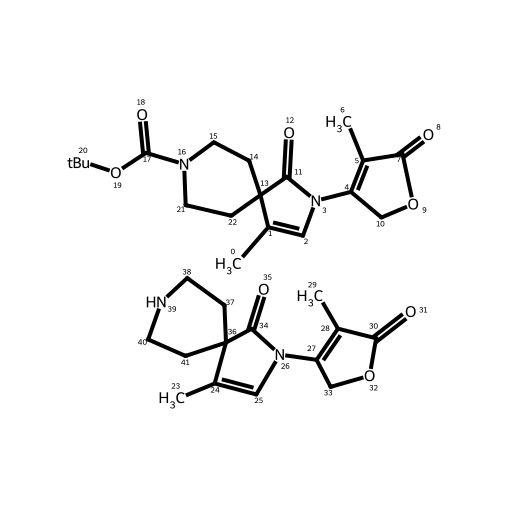 CC1=CN(C2=C(C)C(=O)OC2)C(=O)C12CCN(C(=O)OC(C)(C)C)CC2.CC1=CN(C2=C(C)C(=O)OC2)C(=O)C12CCNCC2